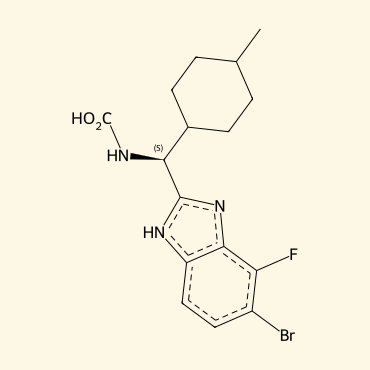 CC1CCC([C@H](NC(=O)O)c2nc3c(F)c(Br)ccc3[nH]2)CC1